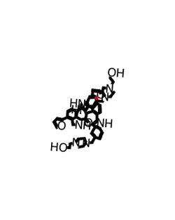 O=C(C1NCc2c(-c3ccco3)ccc(-c3cc4cc(CN5CCN(CCO)CC5)ccc4[nH]3)c21)C1NCc2c(-c3ccco3)ccc(-c3cc4cc(CN5CCN(CCO)CC5)ccc4[nH]3)c21